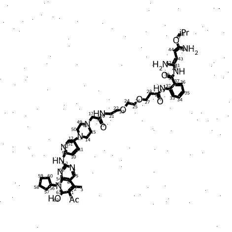 CC(=O)C1=C(C)c2cnc(Nc3ccc(N4CCN(CC(=O)NCCOCCOCCC(=O)Nc5ccccc5C(=O)N/C(N)=C/C=C(\N)OC(C)C)CC4)cn3)nc2N(C2CCCC2)C1O